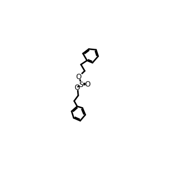 O=S(OCCc1ccccc1)OCCc1ccccc1